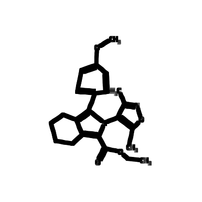 CCOC(=O)c1c2c(c(-c3ccc(OC)cc3)n1-c1c(C)noc1C)CCCC2